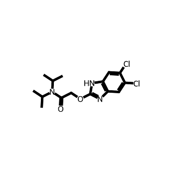 CC(C)N(C(=O)COc1nc2cc(Cl)c(Cl)cc2[nH]1)C(C)C